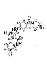 N/C(=C\Nc1ccc(C(=O)N2CCNCC2)cc1)c1cc2ccc(Cl)cc2[nH]c1=O